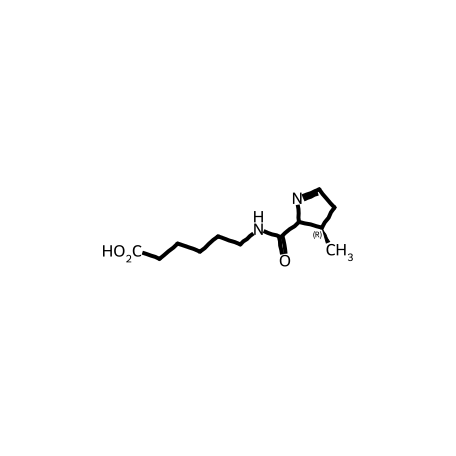 C[C@@H]1CC=NC1C(=O)NCCCCCC(=O)O